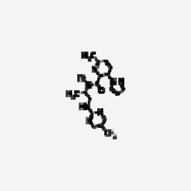 CCN(C(=O)c1nc(C)ccc1-n1cccn1)C(C)CNc1ncc(C(F)(F)F)cn1